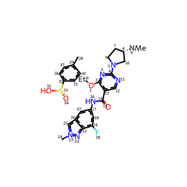 CCOc1nc(N2CC[C@H](NC)C2)ncc1C(=O)Nc1cc(F)c2nn(C)cc2c1.Cc1ccc(S(=O)O)cc1